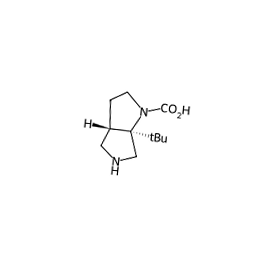 CC(C)(C)[C@]12CNC[C@@H]1CCN2C(=O)O